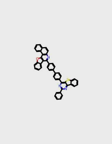 c1ccc(-c2nc(-c3ccc(-c4ccc(-c5nc6ccc7ccccc7c6c6oc7ccccc7c56)cc4)cc3)c3sc4ccccc4c3n2)cc1